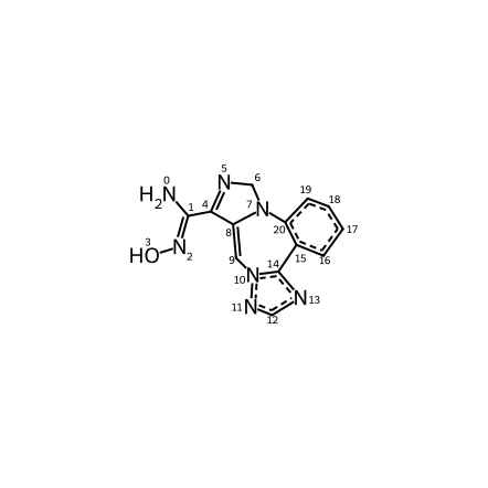 NC(=NO)C1=NCN2C1=Cn1ncnc1-c1ccccc12